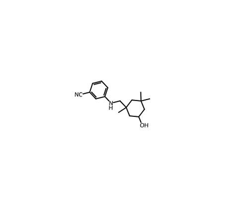 CC1(C)CC(O)CC(C)(CNc2cccc(C#N)c2)C1